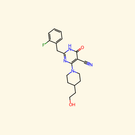 N#Cc1c(N2CCC(CCO)CC2)nc(Cc2ccccc2F)[nH]c1=O